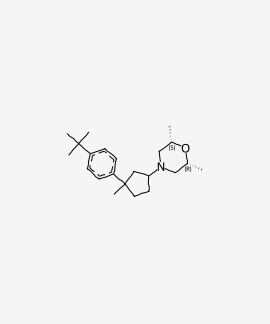 C[C@@H]1CN(C2CCC(C)(c3ccc(C(C)(C)C)cc3)C2)C[C@H](C)O1